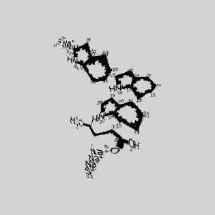 CCCCC(=O)O.[Na+].[Na+].[Na+].[Na+].[Na+].[S-2].[S-2].c1ccc2[nH]ccc2c1.c1ccc2[nH]ccc2c1.c1ccc2[nH]ccc2c1